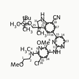 COCCN(C)c1nc(OC)c(Nc2nccc(-c3cc(C#N)c4c(c3)[C@@](C)(CO[Si](C)(C)C(C)(C)C)CN4)n2)cc1Cl